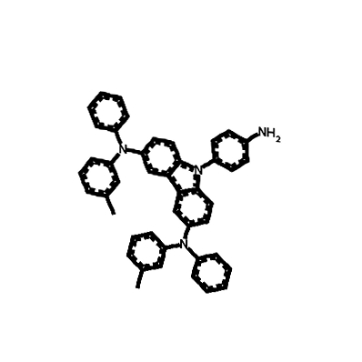 Cc1cccc(N(c2ccccc2)c2ccc3c(c2)c2cc(N(c4ccccc4)c4cccc(C)c4)ccc2n3-c2ccc(N)cc2)c1